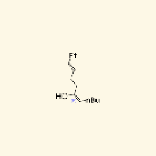 CCC=CCC/C(O)=C\CCCC